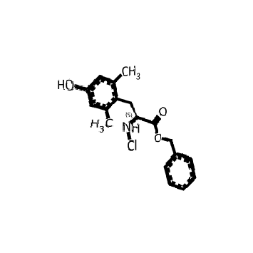 Cc1cc(O)cc(C)c1C[C@H](NCl)C(=O)OCc1ccccc1